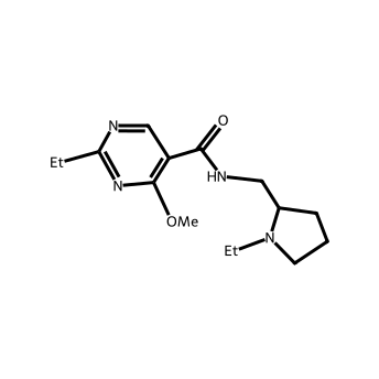 CCc1ncc(C(=O)NCC2CCCN2CC)c(OC)n1